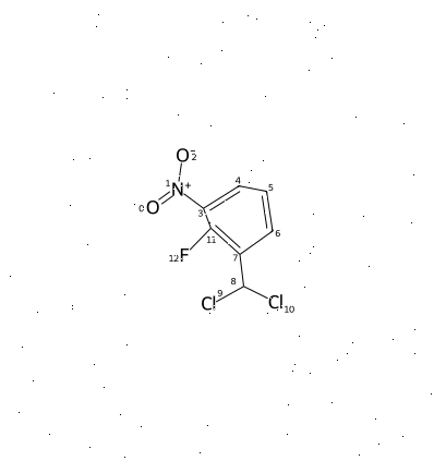 O=[N+]([O-])c1cccc(C(Cl)Cl)c1F